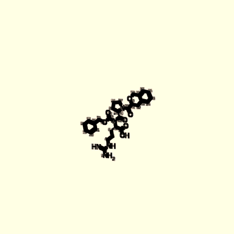 N=C(N)NCCC[C@@H](C(=O)O)N(C(=O)OCc1ccccc1)C(=O)[C@@H]1CCCN1C(=O)C1Cc2ccccc2CO1